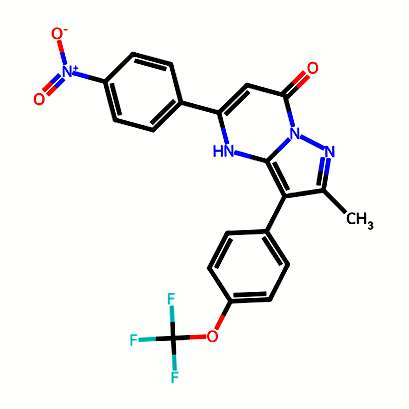 Cc1nn2c(=O)cc(-c3ccc([N+](=O)[O-])cc3)[nH]c2c1-c1ccc(OC(F)(F)F)cc1